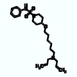 C=CCN(CC=C)CCCCCCOC1CCN(S(=O)(=O)Nc2ccccc2)CC1